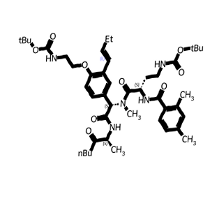 CC/C=C/c1cc([C@@H](C(=O)N[C@@H](C)C(=O)CCCC)N(C)C(=O)[C@H](CCNC(=O)OC(C)(C)C)NC(=O)c2ccc(C)cc2C)ccc1OCCNC(=O)OC(C)(C)C